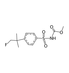 COC(=O)NS(=O)(=O)c1ccc(C(C)(C)CF)cc1